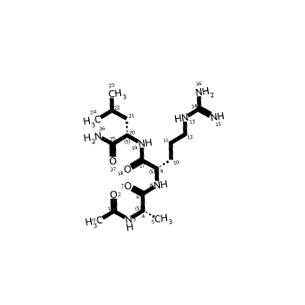 CC(=O)N[C@@H](C)C(=O)N[C@@H](CCCNC(=N)N)C(=O)N[C@@H](CC(C)C)C(N)=O